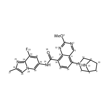 COc1ncc2c(N3CC4CCC(C3)N4)ccc(C(=O)Nc3cc(F)c4nc(C)cn4c3)c2n1